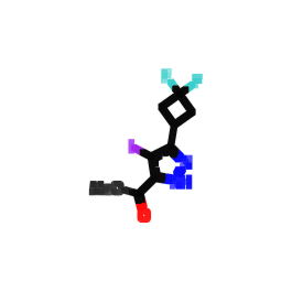 COC(=O)c1[nH]nc(C2CC(F)(F)C2)c1I